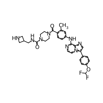 Cc1cc(Nc2nccn3c(-c4ccc(OC(F)F)cc4)cnc23)ccc1C(=O)N1CCN(C(=O)NCC2CNC2)CC1